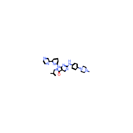 C=C(C)Cn1c(=O)c2cnc(Nc3ccc(N4CCN(C)CC4)cc3)nc2n1-c1cccc(-c2cnccn2)n1